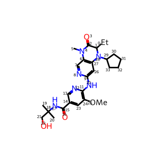 CCC1C(=O)N(C)c2cnc(Nc3ncc(C(=O)NC(C)(C)CO)cc3OC)cc2N1C1CCCC1